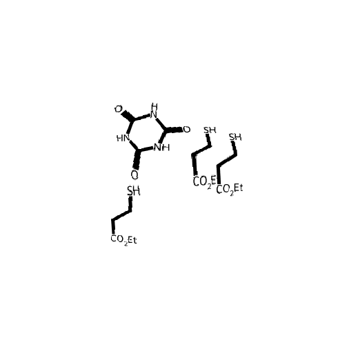 CCOC(=O)CCS.CCOC(=O)CCS.CCOC(=O)CCS.O=c1[nH]c(=O)[nH]c(=O)[nH]1